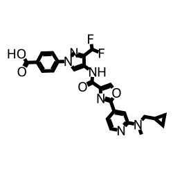 CN(CC1CC1)c1cc(-c2nc(C(=O)Nc3cn(-c4ccc(C(=O)O)cc4)nc3C(F)F)co2)ccn1